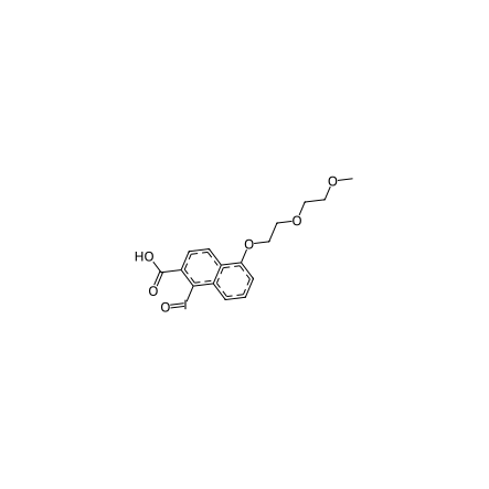 COCCOCCOc1cccc2c(I=O)c(C(=O)O)ccc12